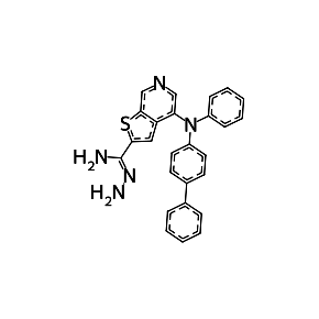 NN=C(N)c1cc2c(N(c3ccccc3)c3ccc(-c4ccccc4)cc3)cncc2s1